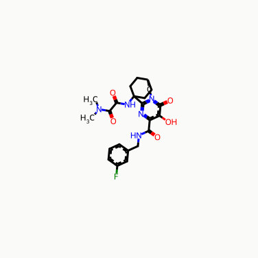 CN(C)C(=O)C(=O)NC12CCC(CC1)Cn1c2nc(C(=O)NCc2cccc(F)c2)c(O)c1=O